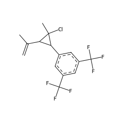 C=C(C)C1C(c2cc(C(F)(F)F)cc(C(F)(F)F)c2)C1(C)Cl